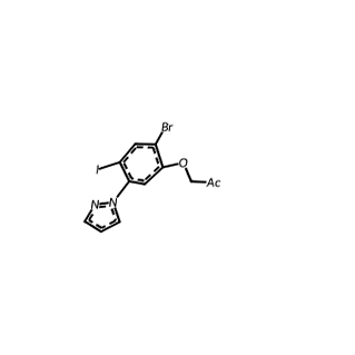 CC(=O)COc1cc(-n2cccn2)c(I)cc1Br